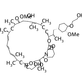 CO[C@@H]1C[C@H](C[C@@H](C)[C@@H]2CC[C@H](C)/C=C(\C)[C@@H](O)[C@@H](OC)C(=O)[C@H](C)C[C@H](C)/C=C/C=C/C=C(\C)C(C)C[C@@H]3CC[C@@H](C)[C@@](O)(O3)C(=O)C(=O)N3CCCC[C@H]3C(=O)O2)CC[C@H]1OCCO